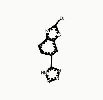 CCc1nc2ccc(-c3nnn[nH]3)cc2s1